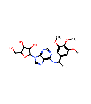 COc1cc(C(C)Nc2ncnc3c2ncn3C2OC(CO)C(O)C2O)cc(OC)c1OC